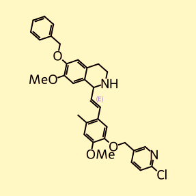 COc1cc(C)c(/C=C/C2NCCc3cc(OCc4ccccc4)c(OC)cc32)cc1OCc1ccc(Cl)nc1